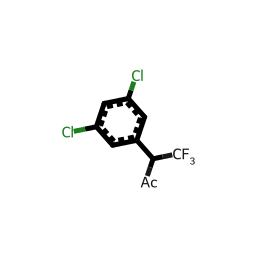 CC(=O)C(c1cc(Cl)cc(Cl)c1)C(F)(F)F